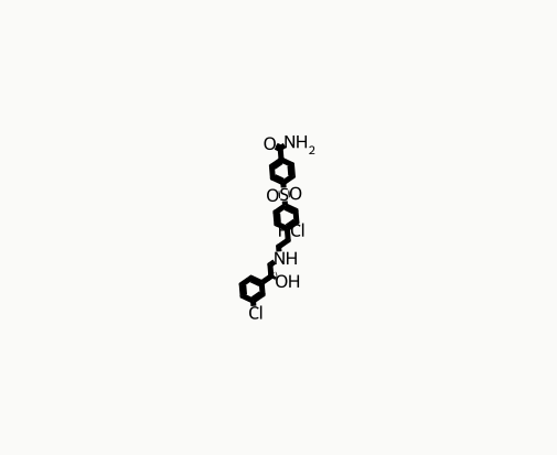 Cl.NC(=O)c1ccc(S(=O)(=O)c2ccc(CCNC[C@@H](O)c3cccc(Cl)c3)cc2)cc1